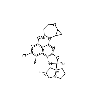 [2H]C([2H])(Oc1nc(N2CCCOC3CC32)c2c(OC)nc(Cl)c(F)c2n1)[C@@]12CCCN1C[C@H](F)C2